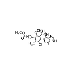 COC(=O)N1CC(c2c(C)c(Cl)cc(C(C)Nc3ncnc4[nH]cnc34)c2OC)C1